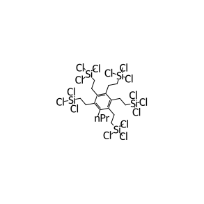 CCCc1c(CC[Si](Cl)(Cl)Cl)c(CC[Si](Cl)(Cl)Cl)c(CC[Si](Cl)(Cl)Cl)c(CC[Si](Cl)(Cl)Cl)c1CC[Si](Cl)(Cl)Cl